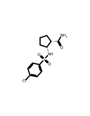 NC(=O)[C@H]1CCC[C@H]1NS(=O)(=O)c1ccc(Cl)cc1